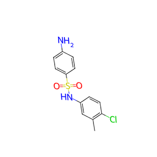 Cc1cc(NS(=O)(=O)c2ccc(N)cc2)ccc1Cl